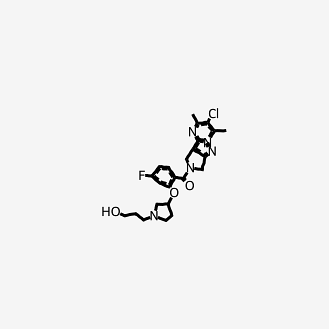 Cc1nc2c3c(nn2c(C)c1Cl)CN(C(=O)c1ccc(F)cc1OC1CCN(CCCO)C1)C3